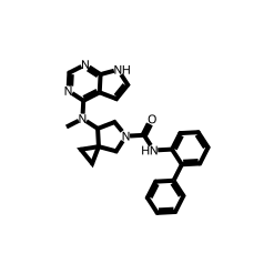 CN(c1ncnc2[nH]ccc12)C1CN(C(=O)Nc2ccccc2-c2ccccc2)CC12CC2